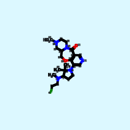 CN(CCF)C1CCN(c2cncc3c2OCC2CN(C(=O)O)CCN2C3=O)C1(C)C